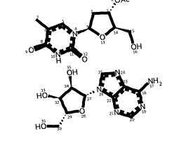 CC(=O)O[C@H]1C[C@H](n2cc(C)c(=O)[nH]c2=O)O[C@@H]1CO.Nc1ncnc2c1ncn2[C@@H]1O[C@H](CO)[C@@H](O)[C@H]1O